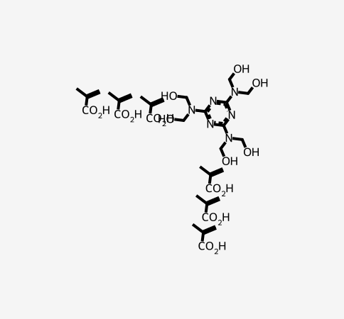 C=C(C)C(=O)O.C=C(C)C(=O)O.C=C(C)C(=O)O.C=C(C)C(=O)O.C=C(C)C(=O)O.C=C(C)C(=O)O.OCN(CO)c1nc(N(CO)CO)nc(N(CO)CO)n1